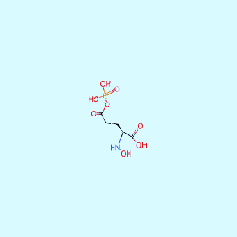 O=C(CC[C@H](NO)C(=O)O)OP(=O)(O)O